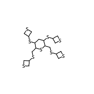 C1SCC1SCC1SC(CSC2CSC2)C(SC2CSC2)CC1SC1CSC1